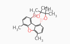 Cc1ccc(Br)c2c1oc1c(C)ccc(B3OC(C)(C)C(C)(C)O3)c12